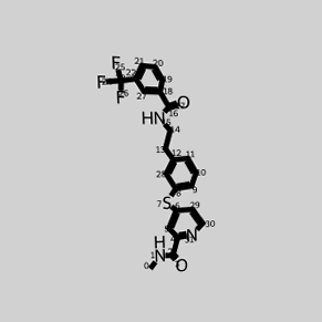 CNC(=O)c1cc(Sc2cccc(CCNC(=O)c3cccc(C(F)(F)F)c3)c2)ccn1